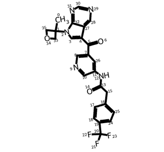 CC1(n2cc(C(=O)c3cncc(NC(=O)Cc4ccc(C(F)(F)F)cc4)c3)c3cncnc32)COC1